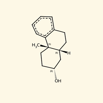 C[C@]12CC[C@@H](O)C[C@H]1CCc1ccccc12